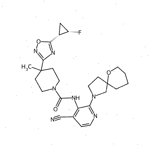 CC1(c2noc([C@@H]3C[C@@H]3F)n2)CCN(C(=O)Nc2c(C#N)ccnc2N2CCC3(CCCCO3)C2)CC1